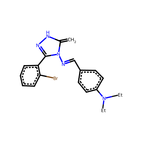 C=C1NN=C(c2ccccc2Br)N1N=Cc1ccc(N(CC)CC)cc1